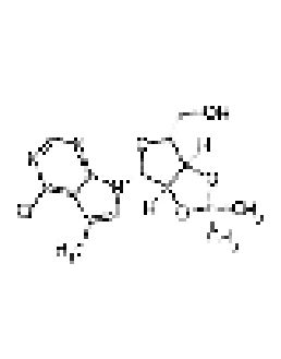 Cc1cn([C@@H]2O[C@H](CO)[C@H]3OC(C)(C)O[C@H]32)c2ncnc(Cl)c12